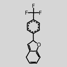 FC(F)(F)c1ccc(C2C=C3CC=CC=C3O2)cc1